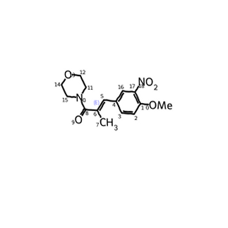 COc1ccc(/C=C(\C)C(=O)N2CCOCC2)cc1[N+](=O)[O-]